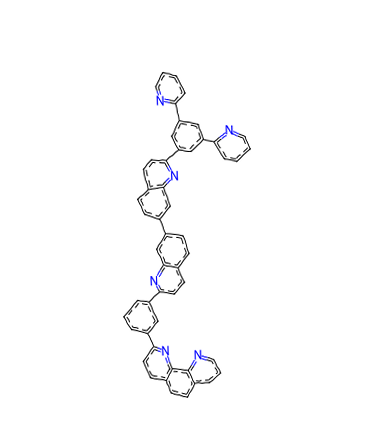 c1ccc(-c2cc(-c3ccccn3)cc(-c3ccc4ccc(-c5ccc6ccc(-c7cccc(-c8ccc9ccc%10cccnc%10c9n8)c7)nc6c5)cc4n3)c2)nc1